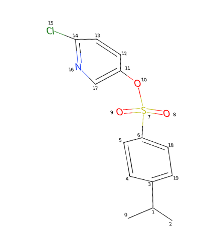 CC(C)c1ccc(S(=O)(=O)Oc2ccc(Cl)nc2)cc1